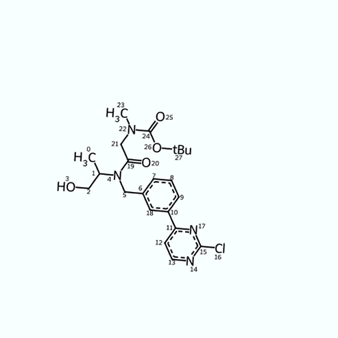 CC(CO)N(Cc1cccc(-c2ccnc(Cl)n2)c1)C(=O)CN(C)C(=O)OC(C)(C)C